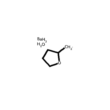 O.[BaH2].[CH2]C1CCCO1